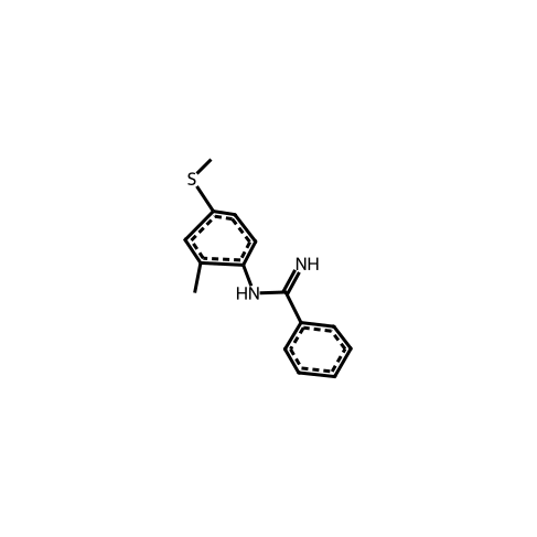 CSc1ccc(NC(=N)c2ccccc2)c(C)c1